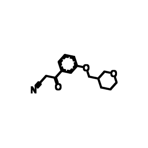 N#CCC(=O)c1cccc(OCC2CCCOC2)c1